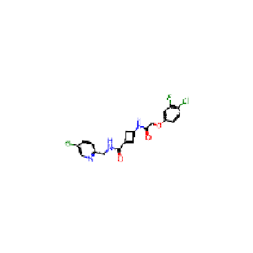 O=C(COc1ccc(Cl)c(F)c1)NC1CC(C(=O)NCc2ccc(Cl)cn2)C1